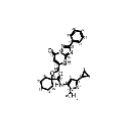 Cn1nc(C2CC2)cc1NC(=O)C1(OCc2cc(=O)n3nc(-c4ccccc4)nc3[nH]2)CCCCC1